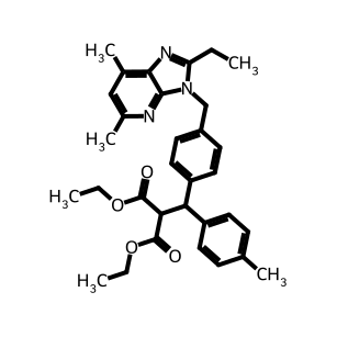 CCOC(=O)C(C(=O)OCC)C(c1ccc(C)cc1)c1ccc(Cn2c(CC)nc3c(C)cc(C)nc32)cc1